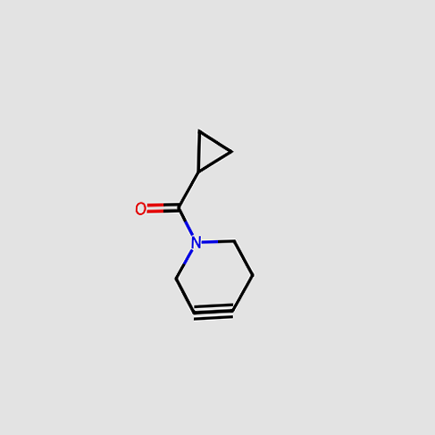 O=C(C1CC1)N1CC#CCC1